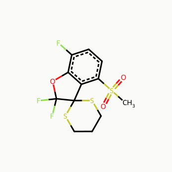 CS(=O)(=O)c1ccc(F)c2c1C1(SCCCS1)C(F)(F)O2